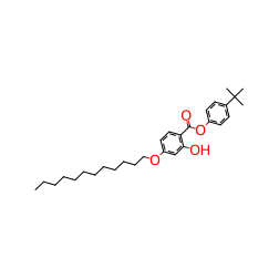 CCCCCCCCCCCCOc1ccc(C(=O)Oc2ccc(C(C)(C)C)cc2)c(O)c1